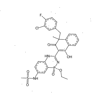 CCOP1(=O)N=C(C2=C(O)c3ccccc3C(C)(Cc3ccc(F)c(Cl)c3)C2=O)Nc2ccc(NS(C)(=O)=O)cc21